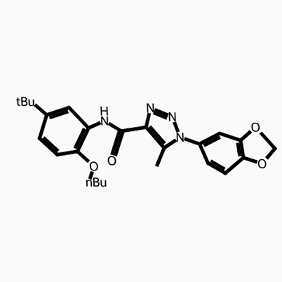 CCCCOc1ccc(C(C)(C)C)cc1NC(=O)c1nnn(-c2ccc3c(c2)OCO3)c1C